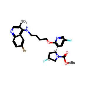 CC(C)(C)OC(=O)N1C[C@@H](F)C[C@@H]1c1cc(F)cnc1OCCCCNc1c([N+](=O)[O-])cnc2ccc(Br)cc12